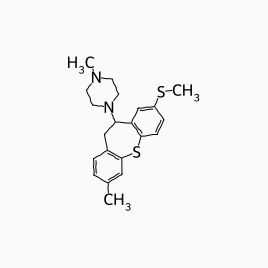 CSc1ccc2c(c1)C(N1CCN(C)CC1)Cc1ccc(C)cc1S2